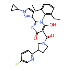 CCc1cccc(CC)c1-n1c(-c2ccn(C3CC3)n2)nc(=O)c(C(=O)N2CCC(c3ccc(F)cn3)C2)c1O